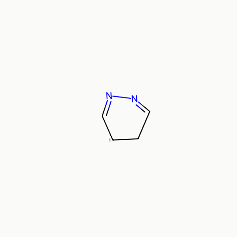 [C]1C=NN=CC1